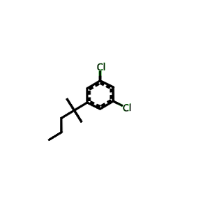 CCCC(C)(C)c1cc(Cl)cc(Cl)c1